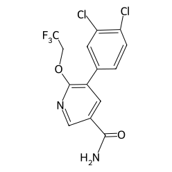 NC(=O)c1cnc(OCC(F)(F)F)c(-c2ccc(Cl)c(Cl)c2)c1